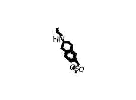 CCCN[C@H]1CCc2cc(CS(C)(=O)=O)ccc2C1